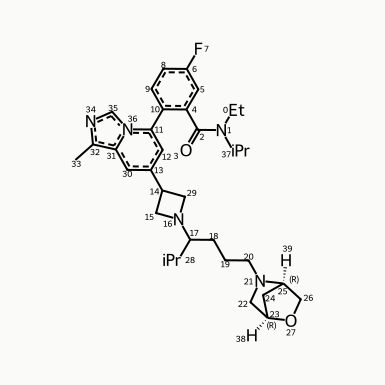 CCN(C(=O)c1cc(F)ccc1-c1cc(C2CN(C(CCCN3C[C@H]4C[C@@H]3CO4)C(C)C)C2)cc2c(C)ncn12)C(C)C